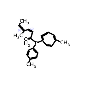 C=C(/C=C\C(C)=C/C)P(C1=C=CC=C(C)C=C1)c1ccc(C)cc1